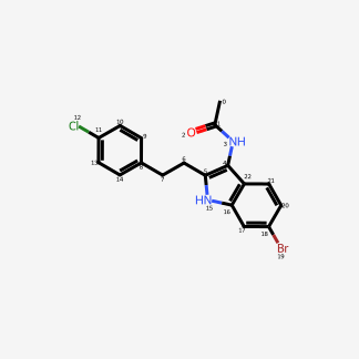 CC(=O)Nc1c(CCc2ccc(Cl)cc2)[nH]c2cc(Br)ccc12